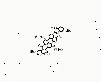 CCCCCCSc1cc2c3c(cc(SCCCCCC)c4c5ccc6c7c(ccc(c1c34)c75)C(=O)N(c1cc(C(C)(C)C)ccc1C(C)(C)C)C6=O)C(=O)N(c1cc(C(C)(C)C)ccc1C(C)(C)C)C2=O